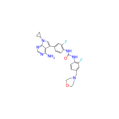 Nc1ncnc2c1c(-c1ccc(NC(=O)Nc3ccc(CN4CCOCC4)cc3F)c(F)c1)cn2C1CC1